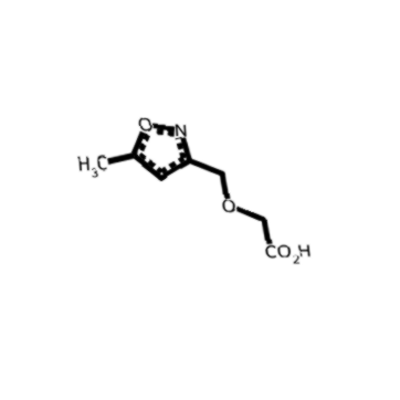 Cc1cc(COCC(=O)O)no1